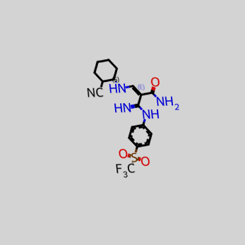 N#CC1CCCC[C@@H]1N/C=C(\C(=N)Nc1ccc(S(=O)(=O)C(F)(F)F)cc1)C(N)=O